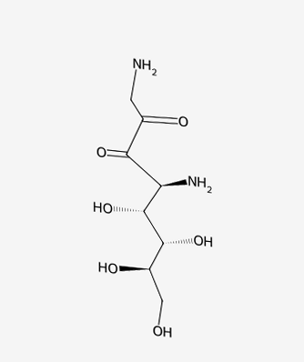 NCC(=O)C(=O)[C@@H](N)[C@@H](O)[C@H](O)[C@H](O)CO